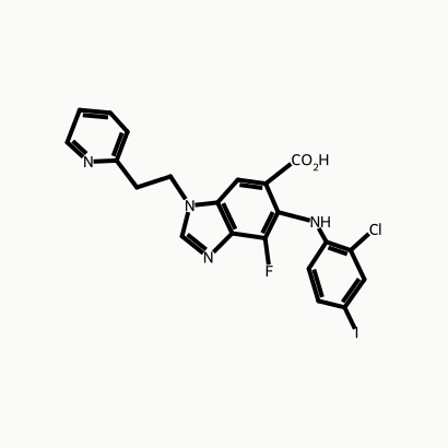 O=C(O)c1cc2c(ncn2CCc2ccccn2)c(F)c1Nc1ccc(I)cc1Cl